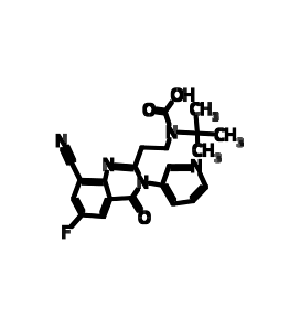 CC(C)(C)N(CCc1nc2c(C#N)cc(F)cc2c(=O)n1-c1cccnc1)C(=O)O